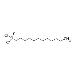 [CH2]CCCCCCCCCCC[Si](Cl)(Cl)Cl